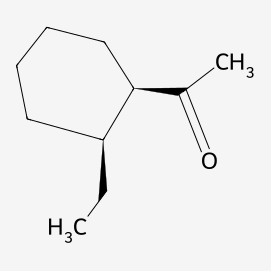 CC[C@H]1CCCC[C@H]1C(C)=O